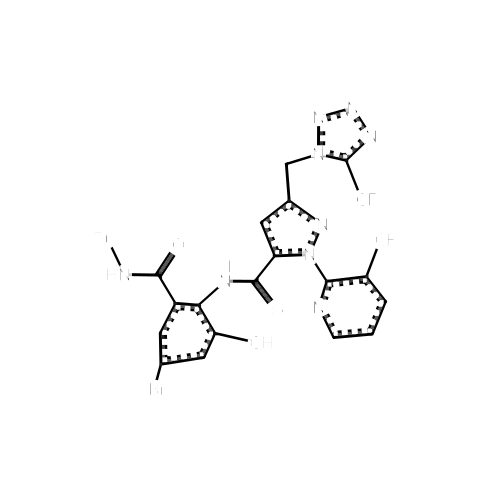 CCNC(=O)c1cc(Br)cc(C)c1NC(=O)c1cc(Cn2nnnc2C(F)(F)F)nn1-c1ncccc1C(F)(F)F